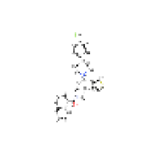 O=C(c1cccc2ccccc12)N1CC(CCN2CCC(c3ccc(F)cc3)CC2)C(c2ccsc2)C1